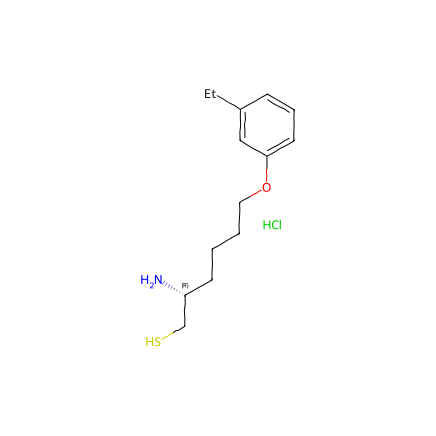 CCc1cccc(OCCCC[C@@H](N)CS)c1.Cl